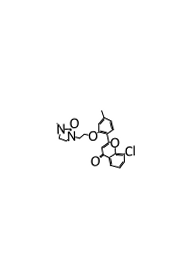 Cc1ccc(-c2cc(=O)c3cccc(Cl)c3o2)c(OCCN2CCN(C)C2=O)c1